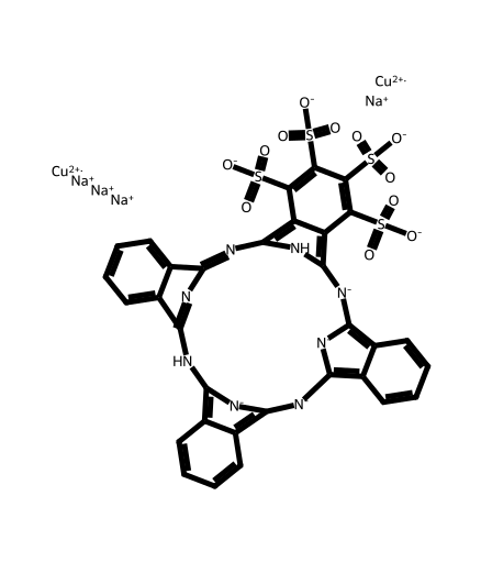 O=S(=O)([O-])c1c(S(=O)(=O)[O-])c(S(=O)(=O)[O-])c2c3[n-]c4[n-]c([n-]c5[n-]c([nH]c6nc(nc([nH]3)c2c1S(=O)(=O)[O-])-c1ccccc1-6)c1ccccc51)c1ccccc41.[Cu+2].[Cu+2].[Na+].[Na+].[Na+].[Na+]